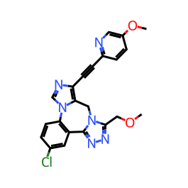 COCc1nnc2n1Cc1c(C#Cc3ccc(OC)cn3)ncn1-c1ccc(Cl)cc1-2